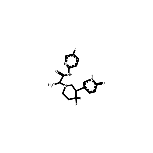 CC(C(=O)Nc1ccc(F)cn1)N1CCC(F)(F)C(c2ccc(=O)[nH]c2)C1